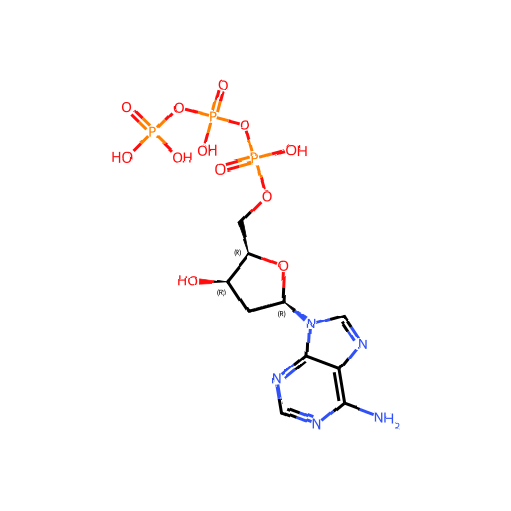 Nc1ncnc2c1ncn2[C@H]1C[C@@H](O)[C@@H](COP(=O)(O)OP(=O)(O)OP(=O)(O)O)O1